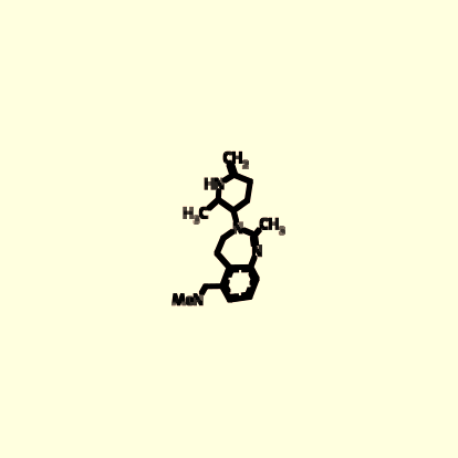 C=C1CCC(N2CCc3c(CNC)cccc3N=C2C)C(C)N1